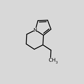 CCC1CCCn2cccc21